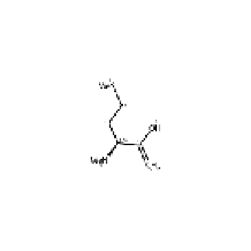 C=C(O)[C@H](CCSC)NC